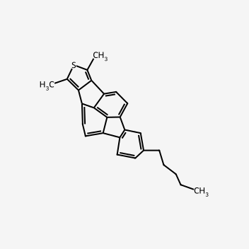 CCCCCc1ccc2c(c1)-c1ccc3c4c(ccc-2c14)-c1c(C)sc(C)c1-3